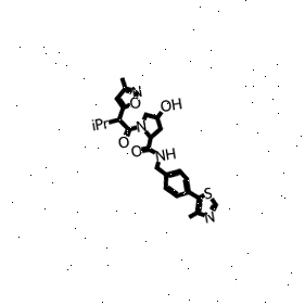 Cc1cc(C(C(=O)N2CC(O)CC2C(=O)NCc2ccc(-c3scnc3C)cc2)C(C)C)on1